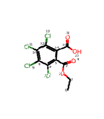 CCOC(=O)c1c(Cl)c(Cl)c(Cl)c(Cl)c1C(=O)O